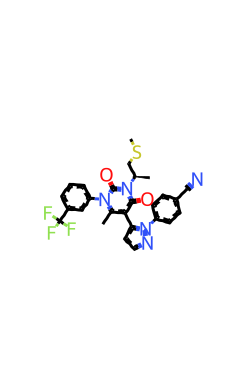 CSC[C@@H](C)n1c(=O)c(-c2ccnn2-c2ccc(C#N)cc2)c(C)n(-c2cccc(C(F)(F)F)c2)c1=O